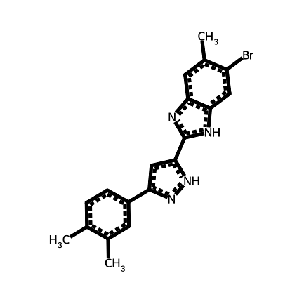 Cc1ccc(-c2cc(-c3nc4cc(C)c(Br)cc4[nH]3)[nH]n2)cc1C